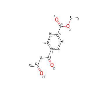 CCOC(=O)c1ccc(C(=O)CC(C)=O)cc1